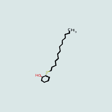 CCCCCCCCCCCCCCS[C@@H]1CCCC[C@H]1O